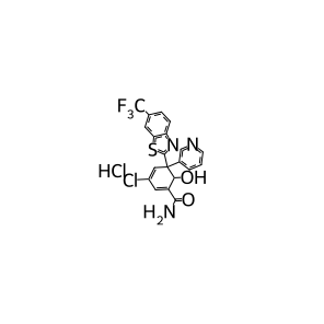 Cl.NC(=O)C1=CC(Cl)=CC(c2cccnc2)(c2nc3ccc(C(F)(F)F)cc3s2)C1O